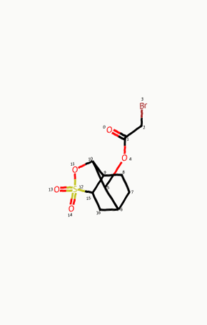 O=C(CBr)OC1C2CCC3C1OS(=O)(=O)C3C2